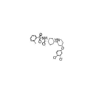 Cc1ccccc1S(=O)(=O)NC(=O)[C@H]1CC[C@H](C2CC(Oc3ccc(Cl)c(Cl)c3)CCN2)CC1